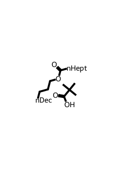 CC(C)(C)C(=O)O.CCCCCCCCCCCCCOC(=O)CCCCCCC